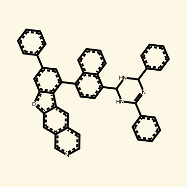 c1ccc(C2=NC(c3ccccc3)NC(c3ccc(-c4cc(-c5ccccc5)cc5oc6cc7cnccc7cc6c45)c4ccccc34)N2)cc1